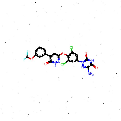 Nc1nn(-c2cc(Cl)c(Oc3cc(-c4cccc(OC(F)F)c4)c(=O)[nH]n3)c(Cl)c2)c(=O)[nH]c1=O